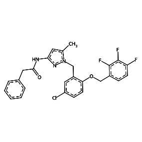 Cc1cc(NC(=O)Cc2ccccc2)nn1Cc1cc(Cl)ccc1OCc1ccc(F)c(F)c1F